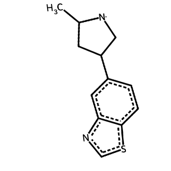 CC1CC(c2ccc3scnc3c2)C[N]1